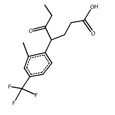 CCC(=O)C(CCC(=O)O)c1ccc(C(F)(F)F)cc1C